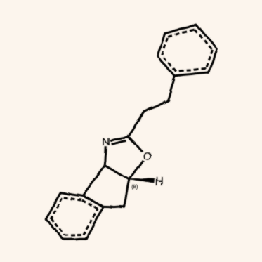 c1ccc(CCC2=NC3c4ccccc4C[C@H]3O2)cc1